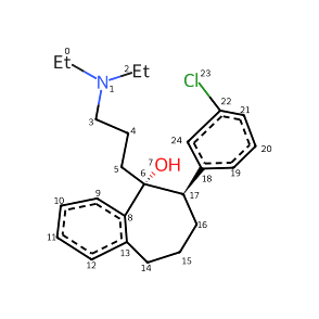 CCN(CC)CCC[C@]1(O)c2ccccc2CCC[C@@H]1c1cccc(Cl)c1